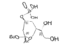 CC(=O)[C@@]1(OCC(C)C)C[C@@H](OP(=O)(O)O)CC([C@H](O)CO)O1